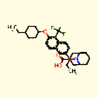 CCC1CCC(Oc2ccc3cc(C(CC)N4C5CCCC4CC(C(=O)O)C5)ccc3c2C(F)(F)F)CC1